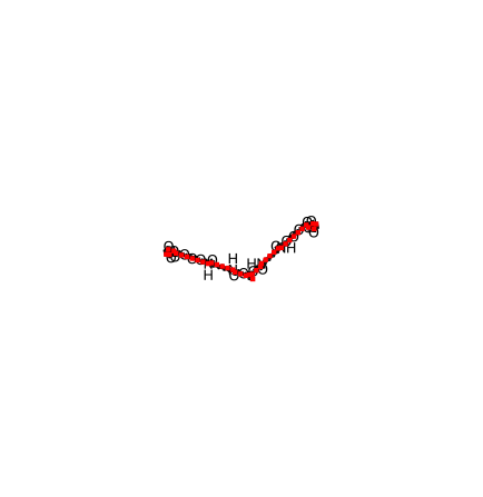 CCC(C)(COCCC(=O)NCCCCCCCC(=O)NCCOCCOCCOCCC(=O)ON1C(=O)CCC1=O)COCCC(=O)NCCCCCCCC(=O)NCCOCCOCCOCCC(=O)ON1C(=O)CCC1=O